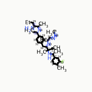 C#CC(C)(NC(C)c1ccc(C)c(F)c1)/C(Cc1ccc(C(=C/C)/N=C(C)\C(N)=C\CC)cc1)=N/C(C#N)=C\N=N/C